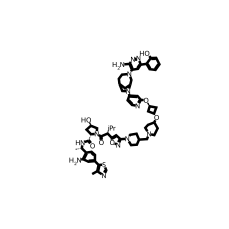 Cc1ncsc1-c1ccc([C@H](C)NC(=O)[C@@H]2C[C@@H](O)CN2C(=O)[C@@H](c2cc(N3CCC(CN4CCC(O[C@H]5C[C@H](Oc6cc(N7CC8CCN(c9cc(-c%10ccccc%10O)nnc9N)CC7C8)ccn6)C5)CC4)CC3)no2)C(C)C)c(N)c1